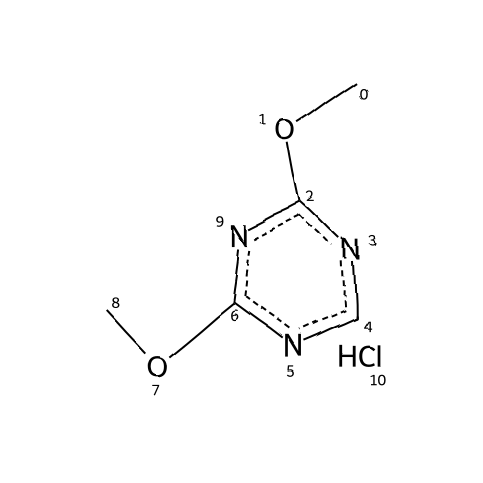 COc1ncnc(OC)n1.Cl